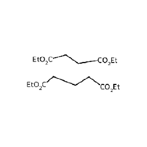 CCOC(=O)CCC(=O)OCC.CCOC(=O)CCCC(=O)OCC